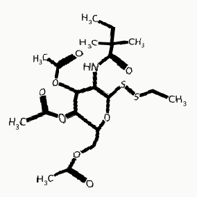 CCSSC1OC(COC(C)=O)C(OC(C)=O)C(OC(C)=O)C1NC(=O)C(C)(C)CC